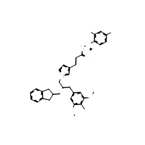 COc1cc([C@@H](O)[C@@H](CC2Cc3ccccc3C2)Cn2ccc(CCC(=O)NS(=O)(=O)c3ccc(F)cc3F)c2)cc(OC)c1C